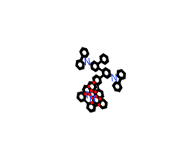 c1ccc(-c2cc(-n3c4ccccc4c4ccccc43)ccc2-c2ccc(-n3c4ccccc4c4ccccc43)cc2-c2cccc(-c3cccc4c3c3ccccc3n4-c3c(-c4ccccc4)cccc3-c3ccccc3-n3c4ccccc4c4ccccc43)c2)cc1